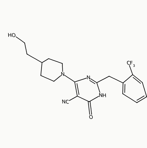 N#Cc1c(N2CCC(CCO)CC2)nc(Cc2ccccc2C(F)(F)F)[nH]c1=O